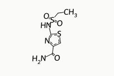 CCS(=O)(=O)Nc1nc(C(N)=O)cs1